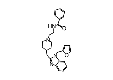 O=C(NCCN1CCC(Cc2nc3ccccc3n2Cc2ccco2)CC1)c1ccccc1